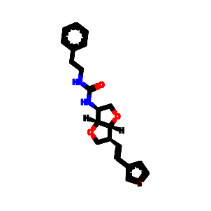 O=C(NCCc1ccccc1)N[C@H]1CO[C@H]2[C@@H]1OC[C@@H]2C=Cc1ccsc1